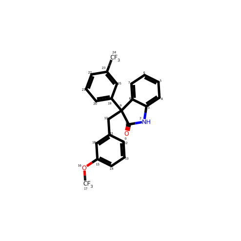 O=C1Nc2ccccc2C1(Cc1cccc(OC(F)(F)F)c1)c1cccc(C(F)(F)F)c1